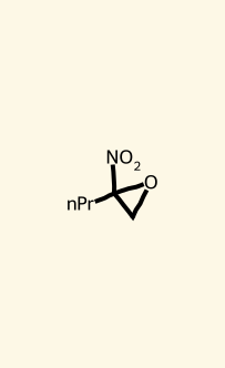 CCCC1([N+](=O)[O-])CO1